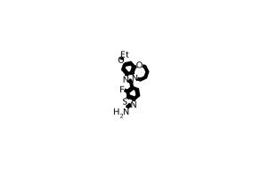 CCOc1cc2c3c(c1)nc(-c1ccc4nc(N)sc4c1F)n3CCCCO2